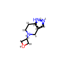 [c]1n[nH]c2c1CN(C1COC1)CC2